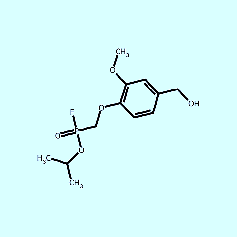 COc1cc(CO)ccc1OCP(=O)(F)OC(C)C